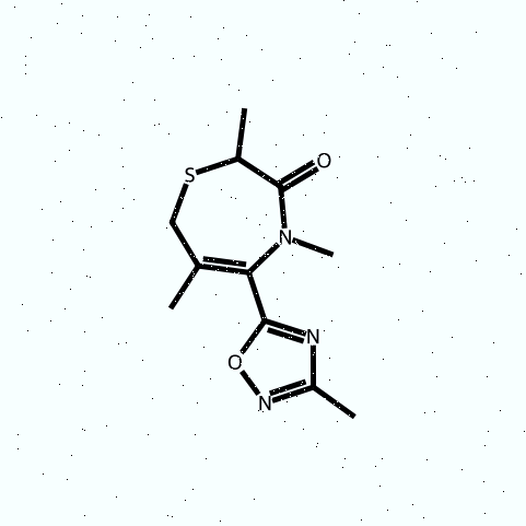 CC1=C(c2nc(C)no2)N(C)C(=O)C(C)SC1